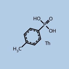 Cc1ccc(P(=O)(O)O)cc1.[Th]